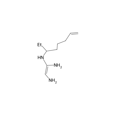 C=CCCCC(CC)N/C(N)=C/N